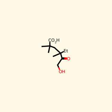 CCC(C)(CC(C)(C)C(=O)O)C(=O)CO